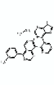 Cc1ccc2c(-c3cccc(C(F)(F)F)c3)ncnc2c1-c1ncccc1-c1ncnc2[nH]cnc12.NN